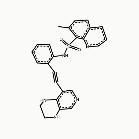 Cc1ccc2cccnc2c1S(=O)(=O)Nc1ccccc1C#Cc1cncc2c1NCCN2